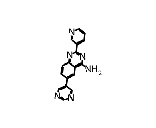 Nc1nc(-c2cccnc2)nc2ccc(-c3cncnc3)cc12